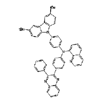 CC(C)(C)c1ccc2c(c1)c1cc(C(C)(C)C)ccc1n2-c1ccc(N(c2ccc(-c3nc4ccccc4nc3-c3ccccc3)cc2)c2cccc3cccnc23)cc1